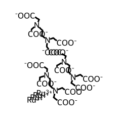 O=C([O-])CN(CCN(CC(=O)[O-])CC(=O)[O-])CC(=O)[O-].O=C([O-])CN(CCN(CC(=O)[O-])CC(=O)[O-])CC(=O)[O-].O=C([O-])CN(CCN(CC(=O)[O-])CC(=O)[O-])CC(=O)[O-].[Ru+3].[Ru+3].[Ru+3].[Ru+3]